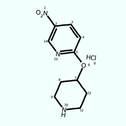 Cl.O=[N+]([O-])c1ccc(OC2CCNCC2)nc1